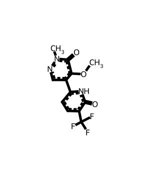 COc1c(-c2ccc(C(F)(F)F)c(=O)[nH]2)cnn(C)c1=O